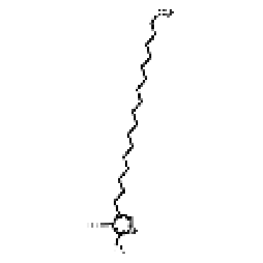 Cc1[nH]cc(CCCCCCCCCCCCCCCCCC(=O)O)[n+]1C